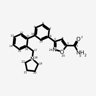 NC(=O)c1cc(-c2cccc(-c3ccccc3CN3CCCC3)c2)no1